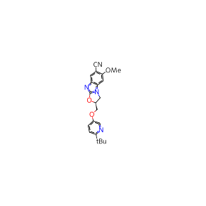 COc1cc2c(cc1C#N)nc1n2C[C@@H](COc2ccc(C(C)(C)C)nc2)O1